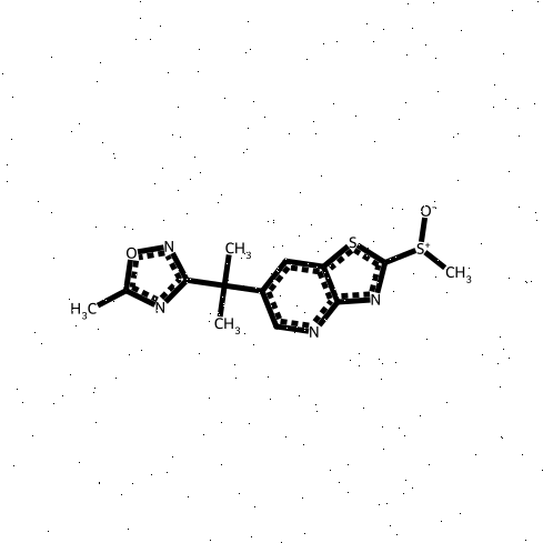 Cc1nc(C(C)(C)c2cnc3nc([S+](C)[O-])sc3c2)no1